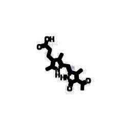 CC(=O)C1=C(C)/C(=C/c2[nH]c(C)c(CCC(=O)O)c2C)NC1=O